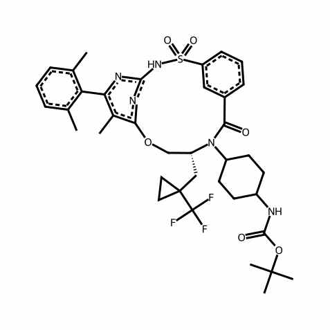 Cc1cccc(C)c1-c1nc2nc(c1C)OC[C@@H](CC1(C(F)(F)F)CC1)N(C1CCC(NC(=O)OC(C)(C)C)CC1)C(=O)c1cccc(c1)S(=O)(=O)N2